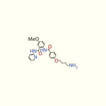 COc1ccc(NC(=O)c2ccc(OCCCCN)cc2)c(C(=O)Nc2ccccn2)c1